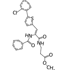 COC(=O)CCNC(=O)C(=Cc1ccc(-c2ccccc2Cl)s1)NC(=O)c1ccccc1